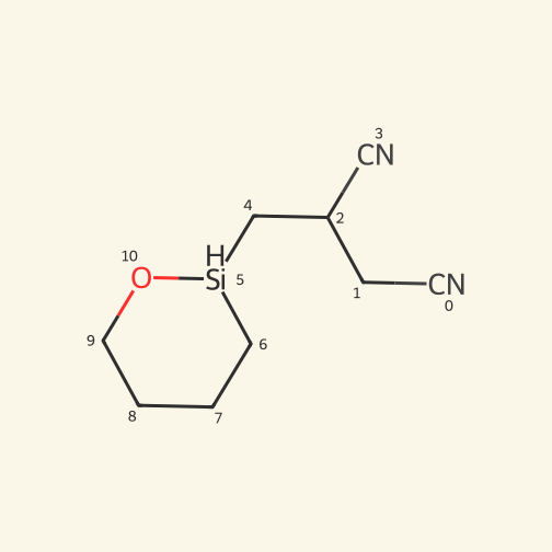 N#CCC(C#N)C[SiH]1CCCCO1